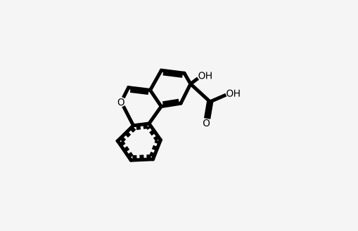 O=C(O)C1(O)C=CC2=COc3ccccc3C2=C1